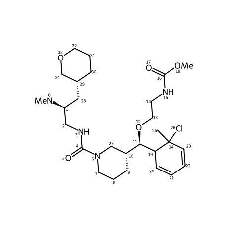 CN[C@H](CNC(=O)N1CCC[C@@H]([C@@H](OCCNC(=O)OC)C2C=CC=CC2(C)Cl)C1)C[C@H]1CCCOC1